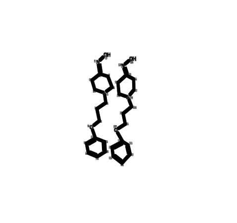 ON=C1CCN(CCCOc2ccccc2)CC1.ON=C1CCN(CCCOc2ccccc2)CC1